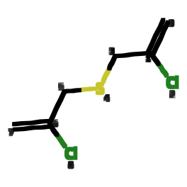 C=C(Cl)CSCC(=C)Cl